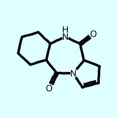 O=C1NC2CCCCC2C(=O)N2C=CCC12